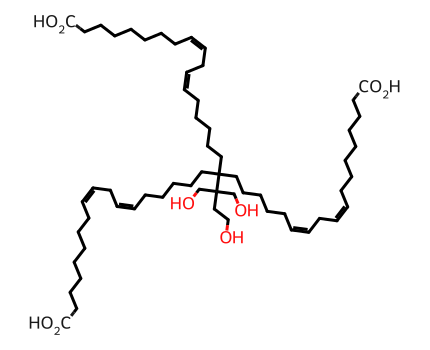 O=C(O)CCCCCCC/C=C\C/C=C\CCCCCC(CCCCC/C=C\C/C=C\CCCCCCCC(=O)O)(CCCCC/C=C\C/C=C\CCCCCCCC(=O)O)C(CO)(CO)CCO